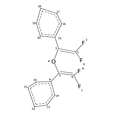 FC(F)=C(OC(=C(F)F)c1ccccc1)c1ccccc1